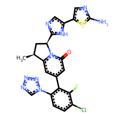 C[C@H]1C[C@@H](c2ncc(-c3cnc(N)s3)[nH]2)n2c1cc(-c1c(-n3cnnn3)ccc(Cl)c1F)cc2=O